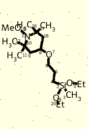 CCO[Si](C)(CCCOC1CC(C)(C)N(OC)C(C)(C)C1)OCC